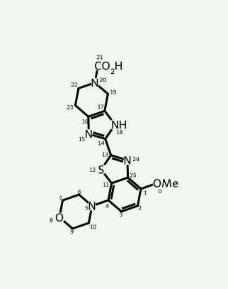 COc1ccc(N2CCOCC2)c2sc(-c3nc4c([nH]3)CN(C(=O)O)CC4)nc12